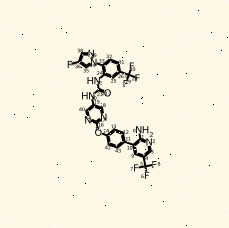 Nc1ncc(C(F)(F)F)cc1-c1ccc(Oc2ncc(NC(=O)Nc3cc(C(F)(F)F)ccc3-n3cc(F)cn3)cn2)cc1